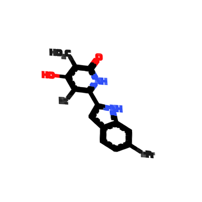 CCCc1ccc2cc(-c3[nH]c(=O)c(C(=O)O)c(O)c3CC)[nH]c2c1